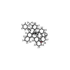 CC1(C)c2ccccc2N2c3cc4ccccc4c(-c4cc5ccccc5cc4Nc4cccc5oc6ccccc6c45)c3Bc3cccc1c32